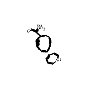 C1=CC=CNC=C1.NC(=O)C1=CC=CC=CC=C1